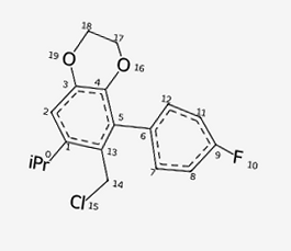 CC(C)c1cc2c(c(-c3ccc(F)cc3)c1CCl)OCCO2